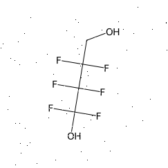 OCC(F)(F)C(F)(F)C(O)(F)F